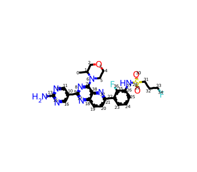 CC1COCCN1c1nc(-c2cnc(N)nc2)nc2ccc(-c3cccc(NS(=O)(=O)CCCF)c3F)nc12